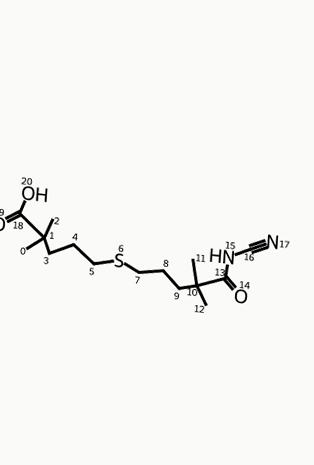 CC(C)(CCCSCCCC(C)(C)C(=O)NC#N)C(=O)O